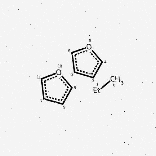 CCC.c1ccoc1.c1ccoc1